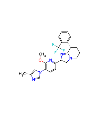 COc1nc(C2CN3CCC[C@@H](c4ccccc4C(F)(F)F)C3=N2)ccc1-n1cnc(C)c1